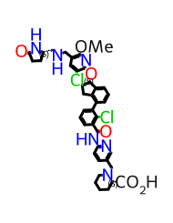 COc1nc(O[C@H]2CCc3c(-c4cccc(C(=O)Nc5ccc(CN6CCCC[C@H]6C(=O)O)cn5)c4Cl)cccc32)c(Cl)cc1CNC[C@@H]1CCC(=O)N1